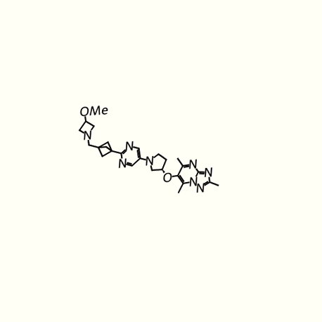 COC1CN(CC23CC(c4ncc(N5CC[C@@H](Oc6c(C)nc7nc(C)nn7c6C)C5)cn4)(C2)C3)C1